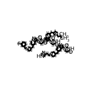 CC(C)CN1CCC(Cc2ccn3ncc(N4CCC(=O)NC4=O)c3c2)C1.O=C1CCN(c2cnn3ccc(CC4CCN(CCc5c[nH]cn5)CC4)cc23)C(=O)N1.O=C1CCN(c2cnn3ccc(CC4CCN(Cc5cccc(F)c5)C4)cc23)C(=O)N1